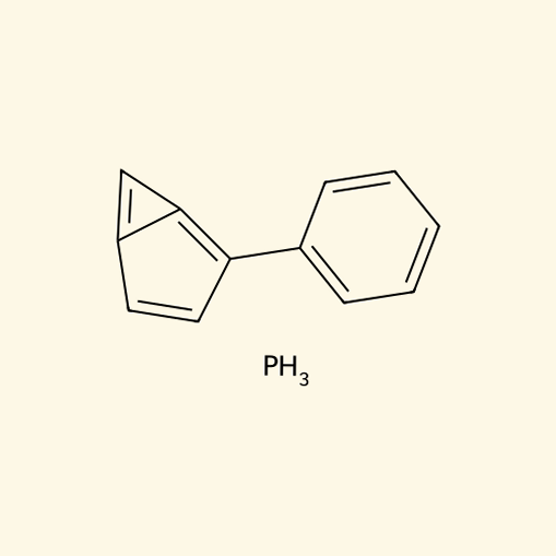 P.c1ccc(-c2ccc3cc2-3)cc1